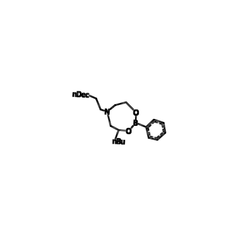 CCCCCCCCCCCCN1CCOB(c2ccccc2)OC(CCCC)C1